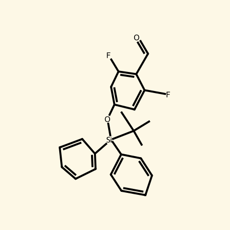 CC(C)(C)[Si](Oc1cc(F)c(C=O)c(F)c1)(c1ccccc1)c1ccccc1